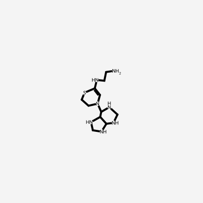 NCCNC1=CN(C2NCNC3NCNC32)CCS1